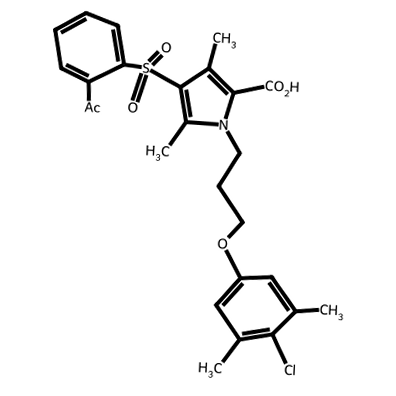 CC(=O)c1ccccc1S(=O)(=O)c1c(C)c(C(=O)O)n(CCCOc2cc(C)c(Cl)c(C)c2)c1C